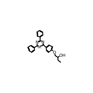 CCC(O)COc1ccc(-c2nc(-c3ccccc3)nc(-c3ccccc3)n2)cc1